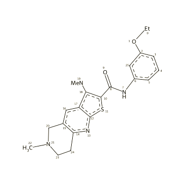 CCOc1cccc(NC(=O)c2sc3nc4c(cc3c2NC)CN(C)CC4)c1